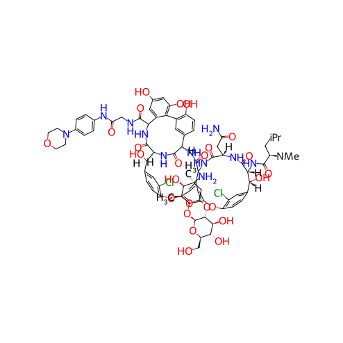 CN[C@H](CC(C)C)C(=O)N[C@H]1C(=O)N[C@@H](CC(N)=O)C(=O)NC2C(=O)N[C@H]3C(=O)N[C@H](C(=O)NC(C(=O)NCC(=O)Nc4ccc(N5CCOCC5)cc4)c4cc(O)cc(O)c4-c4cc3ccc4O)[C@H](O)c3ccc(c(Cl)c3)Oc3cc2cc(c3O[C@@H]2O[C@H](CO)[C@@H](O)[C@H](O)[C@H]2OC2C[C@](C)(N)[C@H](O)[C@H](C)O2)Oc2ccc(cc2Cl)[C@H]1O